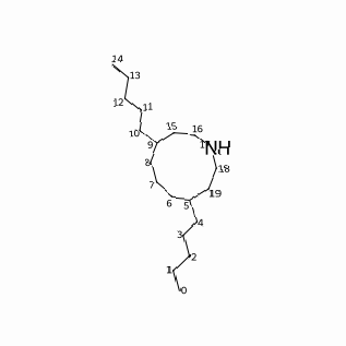 CCCCCC1CCCC(CCCCC)CCNCC1